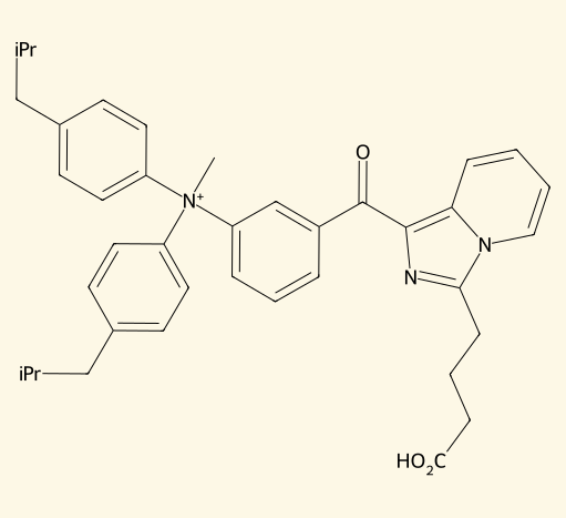 CC(C)Cc1ccc([N+](C)(c2ccc(CC(C)C)cc2)c2cccc(C(=O)c3nc(CCCC(=O)O)n4ccccc34)c2)cc1